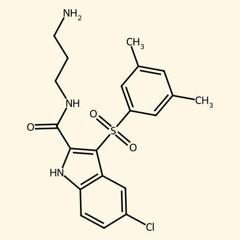 Cc1cc(C)cc(S(=O)(=O)c2c(C(=O)NCCCN)[nH]c3ccc(Cl)cc23)c1